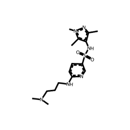 Cc1nn(C)c(C)c1NS(=O)(=O)c1ccc(NCCCN(C)C)nc1